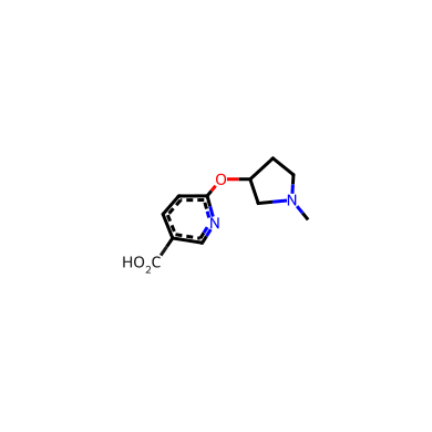 CN1CCC(Oc2ccc(C(=O)O)cn2)C1